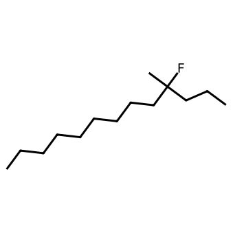 CCCCCCCCCC(C)(F)CCC